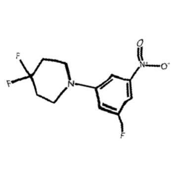 O=[N+]([O-])c1cc(F)cc(N2CCC(F)(F)CC2)c1